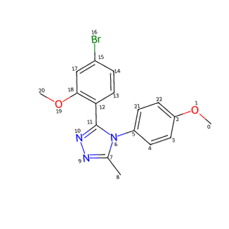 COc1ccc(-n2c(C)nnc2-c2ccc(Br)cc2OC)cc1